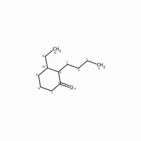 CCCCC1C(=O)CCCC1CC